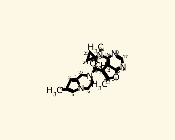 Cc1cc2n(c1)CCN(C(=O)c1c(C)oc3ncnc(N(C)C4(C)CC4)c13)C2